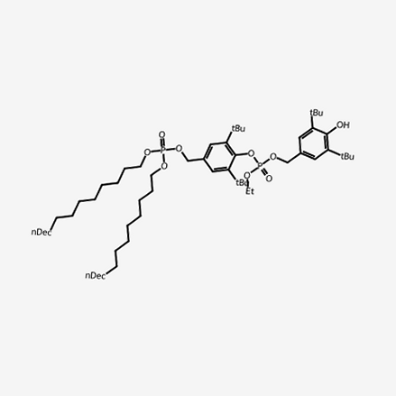 CCCCCCCCCCCCCCCCCCOP(=O)(OCCCCCCCCCCCCCCCCCC)OCc1cc(C(C)(C)C)c(OP(=O)(OCC)OCc2cc(C(C)(C)C)c(O)c(C(C)(C)C)c2)c(C(C)(C)C)c1